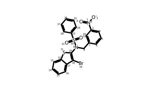 O=[N+]([O-])c1cccc(CN(c2sc3ccccc3c2Br)S(=O)(=O)c2ccccc2)c1